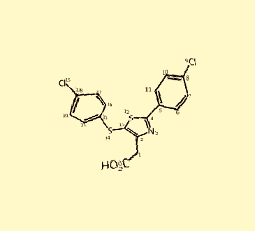 O=C(O)Cc1nc(-c2ccc(Cl)cc2)sc1Sc1ccc(Cl)cc1